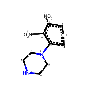 O=[N+]([O-])c1cccc(N2CCNCC2)c1[N+](=O)[O-]